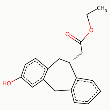 CCOC(=O)C[C@H]1Cc2ccc(O)cc2Cc2ccccc21